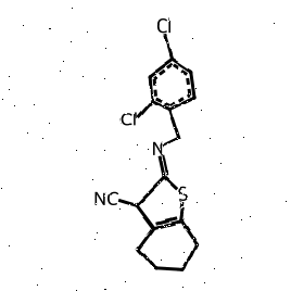 N#CC1C(=NCc2ccc(Cl)cc2Cl)SC2=C1CCCC2